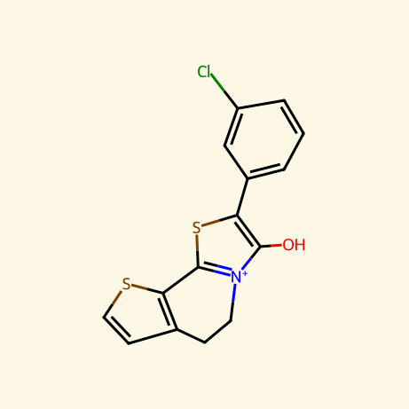 Oc1c(-c2cccc(Cl)c2)sc2[n+]1CCc1ccsc1-2